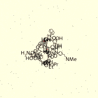 CC[C@H](CC(C)C)C(=O)N[C@H]1C(=O)C[C@@H](CC(=O)NC(=O)Nc2ccc(CCCNC)cc2)C(=O)N[C@H]2C(=O)C[C@H]3C(=O)N[C@H](C(=O)N[C@H](C(=O)CC4C5CC6CC(C5)CC4C6)c4cc(O)cc(O)c4-c4cc3ccc4O)[C@H](O)c3ccc(c(Cl)c3)Oc3cc2cc(c3O[C@@H]2O[C@H](CN)[C@@H](O)[C@H](O)[C@H]2O)Oc2ccc(cc2Cl)[C@H]1O